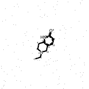 CCN1CCc2[nH]c(=O)ccc2C1